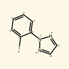 Ic1ccccc1-n1nccn1